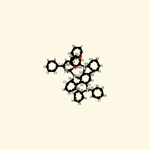 c1ccc(-c2cc(-c3ccccc3)nc(-n3c4ccccc4c4c(N(c5ccccc5)c5ccccc5)cc5c6ccccc6n(-c6ccccc6)c5c43)n2)cc1